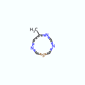 Cc1cncscncn1